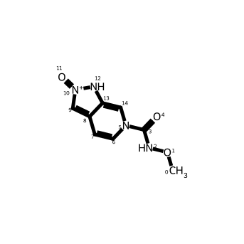 CONC(=O)n1ccc2c[n+](=O)[nH]c-2c1